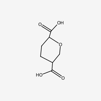 O=C(O)C1CCC(C(=O)O)OC1